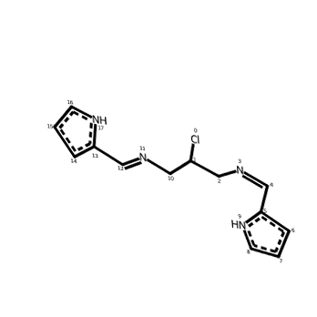 ClC(C/N=C\c1ccc[nH]1)C/N=C/c1ccc[nH]1